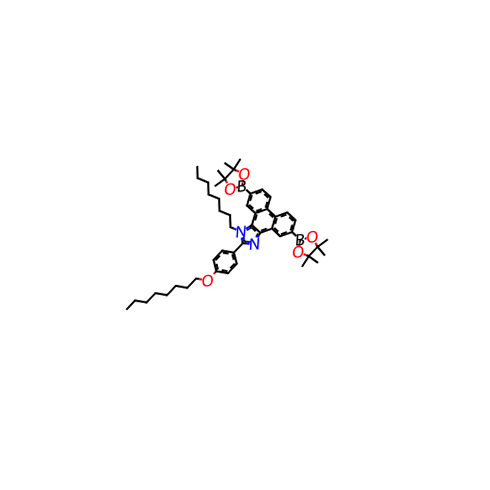 CCCCCCCCOc1ccc(-c2nc3c4cc(B5OC(C)(C)C(C)(C)O5)ccc4c4ccc(B5OC(C)(C)C(C)(C)O5)cc4c3n2CCCCCCCC)cc1